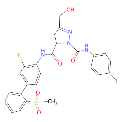 CS(=O)(=O)c1ccccc1-c1ccc(NC(=O)C2CC(CO)=NN2C(=O)Nc2ccc(I)cc2)c(F)c1